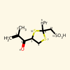 C=C(C)C(=O)C1CSC(CCC)(CS(=O)(=O)O)S1